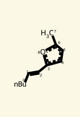 CCCCC=Cc1ccc(C)o1